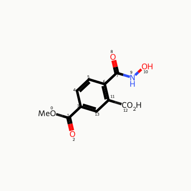 COC(=O)c1ccc(C(=O)NO)c(C(=O)O)c1